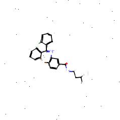 CC(C)CCNC(=O)c1ccc2c(c1)N=C(c1ccccc1F)c1ccccc1S2